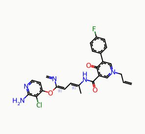 C=CCn1cc(C(=O)N/C(C)=C/C=C(\N=C)Oc2ccnc(N)c2Cl)c(=O)c(-c2ccc(F)cc2)c1